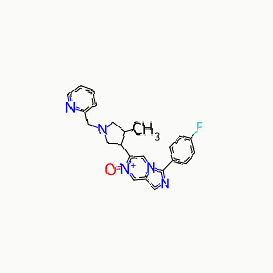 CC1CN(Cc2ccccn2)CC1c1cn2c(-c3ccc(F)cc3)ncc2c[n+]1[O-]